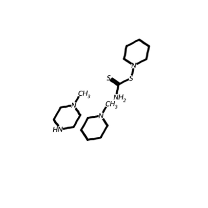 CN1CCCCC1.CN1CCNCC1.NC(=S)SN1CCCCC1